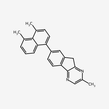 Cc1cnc2c(n1)Cc1cc(-c3ccc(C)c4c(C)cccc34)ccc1-2